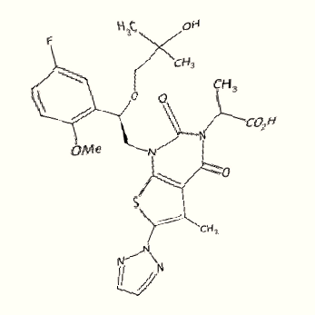 COc1ccc(F)cc1[C@H](Cn1c(=O)n(C(C)C(=O)O)c(=O)c2c(C)c(-n3nccn3)sc21)OCC(C)(C)O